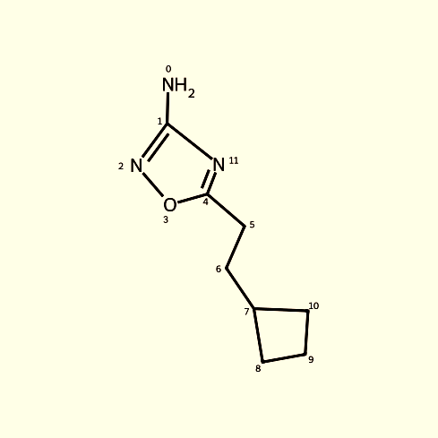 Nc1noc(CCC2CCC2)n1